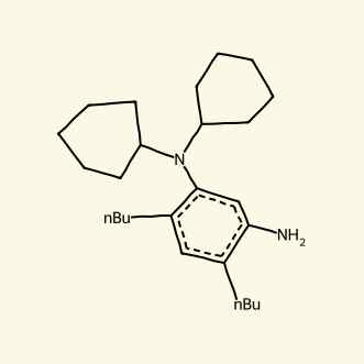 CCCCc1cc(CCCC)c(N(C2CCCCC2)C2CCCCC2)cc1N